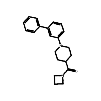 O=C(C1CCN(c2cccc(-c3ccccc3)c2)CC1)N1CCC1